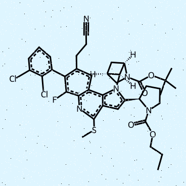 CCCOC(=O)N1CCC[C@@H]1c1cc2c(SC)nc3c(F)c(-c4cccc(Cl)c4Cl)c(CCC#N)cc3c2n1[C@H]1[C@@H]2C[C@H]1N(C(=O)OC(C)(C)C)C2